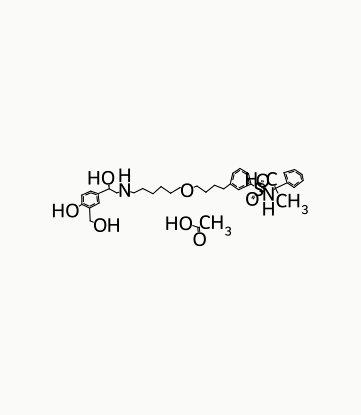 CC(=O)O.CC(C)(NS(=O)(=O)c1cccc(CCCCOCCCCCCNC[C@H](O)c2ccc(O)c(CO)c2)c1)c1ccccc1